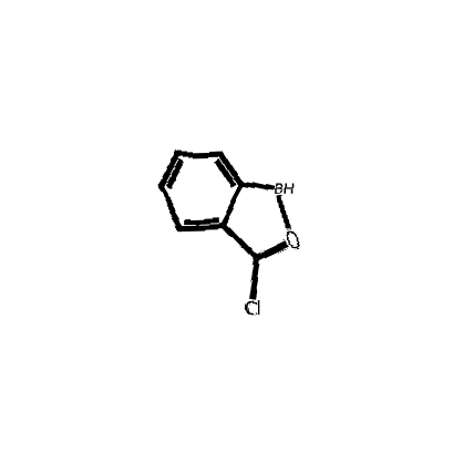 ClC1OBc2ccccc21